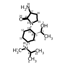 CC(O)[C@@H]1C[C@H](N(C)C(C)C)CC[C@@H]1N1CCC(N)C1=O